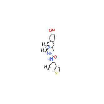 C[C@H](Cc1ccsc1)NC(=O)NC[C@H](Cc1ccc(O)cc1)N(C)C